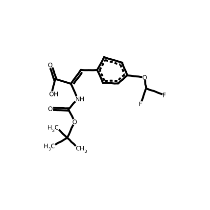 CC(C)(C)OC(=O)N/C(=C\c1ccc(OC(F)F)cc1)C(=O)O